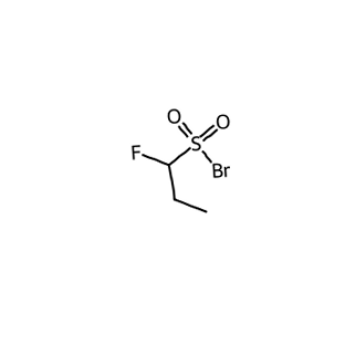 CCC(F)S(=O)(=O)Br